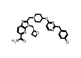 NC(=O)c1ccc2nc(CN3CCC(Oc4ccnc(Cc5ccc(Cl)cc5)n4)CC3)n(C[C@@H]3CCO3)c2n1